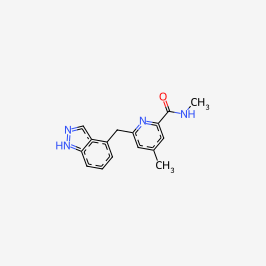 CNC(=O)c1cc(C)cc(Cc2cccc3[nH]ncc23)n1